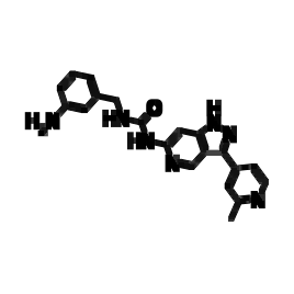 Cc1cc(-c2n[nH]c3cc(NC(=O)NCc4cccc(N)c4)ncc23)ccn1